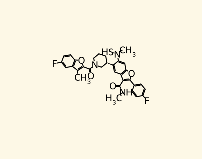 CNC(=O)c1c(-c2ccc(F)cc2)oc2cc(N(C)S)c([C@@H]3CCCN(C(=O)c4oc5ccc(F)cc5c4C)C3)cc12